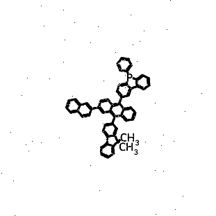 CC1(C)c2ccccc2-c2ccc(-c3c4ccccc4c(-c4ccc5c(c4)c4ccccc4p5-c4ccccc4)c4ccc(-c5ccc6ccccc6c5)cc34)cc21